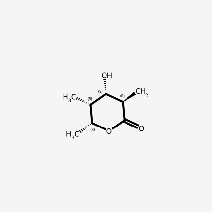 C[C@@H]1[C@H](O)[C@@H](C)C(=O)O[C@@H]1C